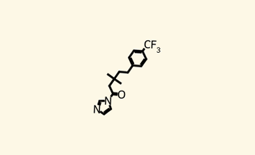 CC(C)(CCc1ccc(C(F)(F)F)cc1)CC(=O)n1ccnc1